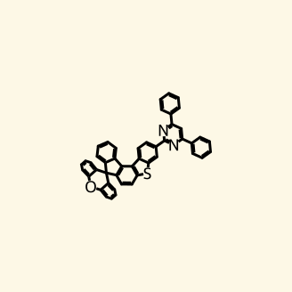 c1ccc(-c2cc(-c3ccccc3)nc(-c3ccc4c(c3)sc3ccc5c(c34)-c3ccccc3C53c4ccccc4Oc4ccccc43)n2)cc1